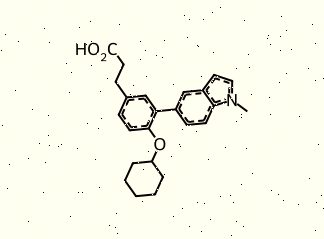 Cn1ccc2cc(-c3cc(CCC(=O)O)ccc3OC3CCCCC3)ccc21